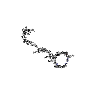 CO[C@H]1C[C@@H]2CC[C@@H](C)[C@@](O)(O2)C(=O)C(=O)N2CCCC[C@H]2C(=O)O[C@H]([C@H](N)C[C@@H]2CC[C@@H](OC(=O)NCc3cnc(N4CCN(C(=O)CCOCCN5CCN(c6ncc(C(=O)N7CCc8cc(Cn9nc(-c%10ccc%11oc(N)nc%11c%10)c%10c(N)ncnc%109)ccc8C7)cn6)CC5)[C@@H](C(=O)O)C4)nc3)[C@H](OC)C2)C[C@@H](OC)[C@H](C)/C=C(\C)[C@@H](O)[C@@H](OC)C(=O)[C@H](C)C[C@H](C)/C=C/C=C/C=C/1C